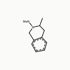 CNN1Cc2ccccc2CC1C